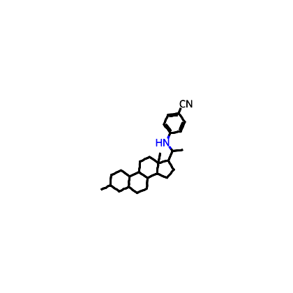 CC1CCC2C(CCC3C2CCC2(C)C(C(C)Nc4ccc(C#N)cc4)CCC32)C1